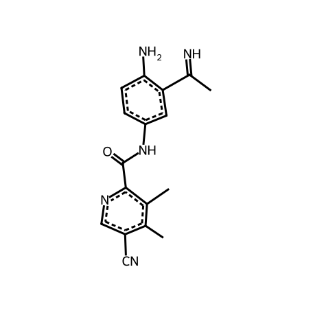 CC(=N)c1cc(NC(=O)c2ncc(C#N)c(C)c2C)ccc1N